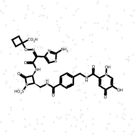 Nc1nc(/C(=N/OC2(C(=O)O)CCC2)C(=O)N[C@@H]2C(=O)N(S(=O)(=O)O)[C@@H]2CNC(=O)c2ccc(CNC(=O)c3cc(=O)c(O)cn3O)cc2)cs1